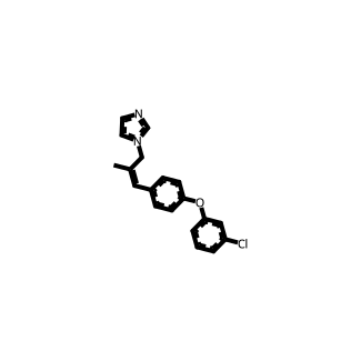 CC(=Cc1ccc(Oc2cccc(Cl)c2)cc1)Cn1ccnc1